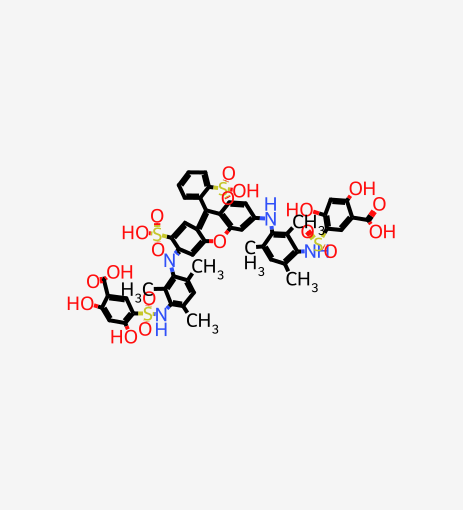 Cc1cc(C)c(NS(=O)(=O)c2cc(C(=O)O)c(O)cc2O)c(C)c1/N=c1\cc2oc3cc(Nc4c(C)cc(C)c(NS(=O)(=O)c5cc(C(=O)O)c(O)cc5O)c4C)ccc3c(-c3ccccc3S(=O)(=O)O)c-2cc1S(=O)(=O)O